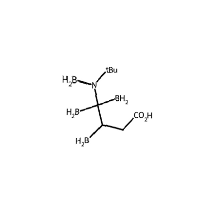 BC(CC(=O)O)C(B)(B)N(B)C(C)(C)C